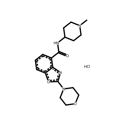 CN1CCC(NC(=O)c2cccc3oc(N4CCOCC4)nc23)CC1.Cl